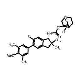 COc1c(C)cc(-c2cc3c(cc2F)[C@H](NC(=O)O[C@@H]2CN4CCC2CC4)C(C)(C)C3)cc1C